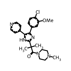 COc1cc(-c2nc(C(C)(C)C(=O)N3CCN(C)CC3)[nH]c2-c2ccncc2)ccc1Cl